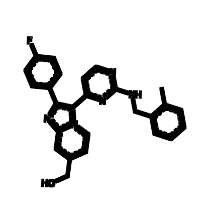 Cc1ccccc1CNc1nccc(-c2c(-c3ccc(F)cc3)nc3cc(CO)ccn23)n1